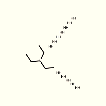 CCN(CC)CC.[HH].[HH].[HH].[HH].[HH].[HH].[HH].[HH].[HH].[HH].[HH].[HH]